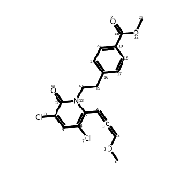 COC=C=Cc1c(Cl)cc(Cl)c(=O)n1CCc1ccc(C(=O)OC)cc1